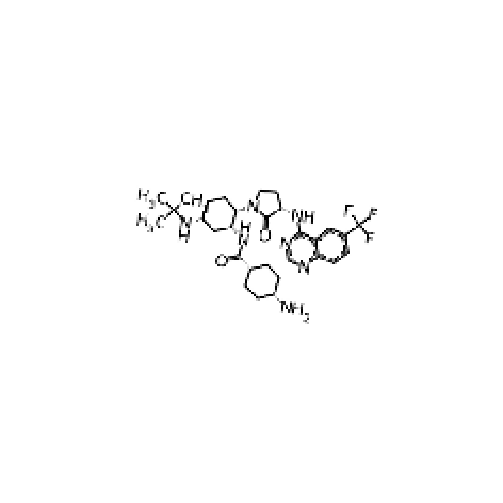 CC(C)(C)N[C@@H]1CC[C@H](N2CC[C@H](Nc3ncnc4ccc(C(F)(F)F)cc34)C2=O)[C@H](NC(=O)[C@H]2CC[C@@H](N)CC2)C1